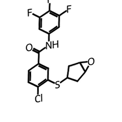 O=C(Nc1cc(F)c(F)c(F)c1)c1ccc(Cl)c(SC2CC3OC3C2)c1